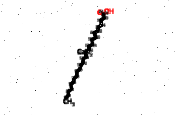 CCCCCCCCCCCCCCCCCCCCCCCCCCCC(=O)O.[CaH2]